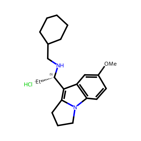 C[CH][C@H](NCC1CCCCC1)c1c2n(c3ccc(OC)cc13)CCC2.Cl